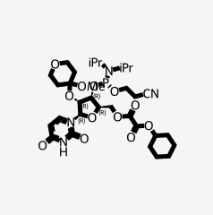 COC1(O[C@@H]2[C@H](OP(OCCC#N)N(C(C)C)C(C)C)[C@@H](COC(=O)C(=O)OC3CCCCC3)O[C@H]2n2ccc(=O)[nH]c2=O)CCOCC1